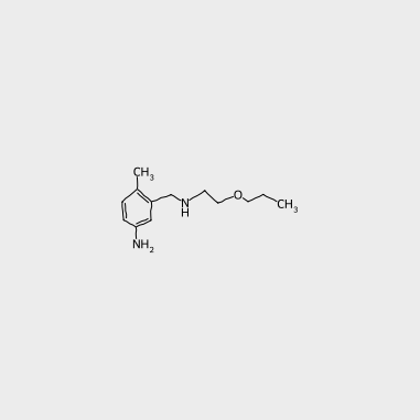 CCCOCCNCc1cc(N)ccc1C